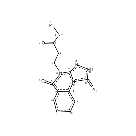 CC(C)NC(=O)CCn1c(=O)c2ccccc2n2c(=S)[nH]nc12